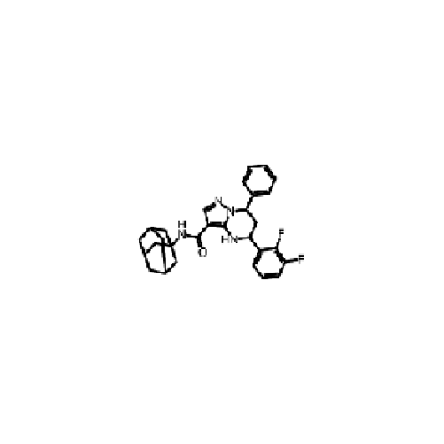 O=C(NC12CC3CC(CC(C3)C1)C2)c1cnn2c1NC(c1cccc(F)c1F)CC2c1ccccc1